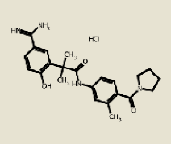 Cc1cc(NC(=O)C(C)(C)c2cc(C(=N)N)ccc2O)ccc1C(=O)N1CCCC1.Cl